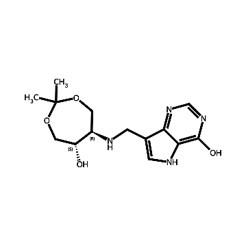 CC1(C)OC[C@@H](O)[C@H](NCc2c[nH]c3c(O)ncnc23)CO1